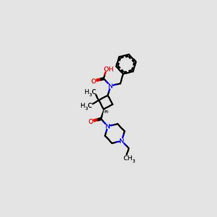 CCN1CCN(C(=O)[C@@H]2CC(N(Cc3ccccc3)C(=O)O)C2(C)C)CC1